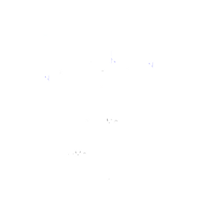 COc1cc(C=C2C(C)=C(CC(=O)NCc3cccn3C)c3cc(F)cnc32)cc(OC)c1OCC(=O)O